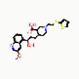 COc1cnc2cccc(C(O)CCC3CCN(CCSc4cccs4)CC3C(=O)O)c2c1